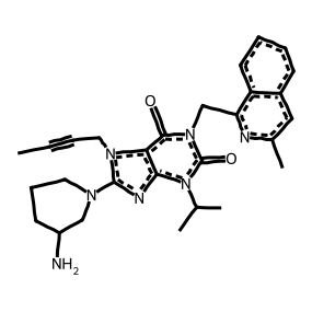 CC#CCn1c(N2CCCC(N)C2)nc2c1c(=O)n(Cc1nc(C)cc3ccccc13)c(=O)n2C(C)C